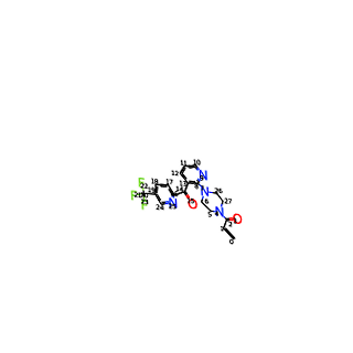 C=CC(=O)N1CCN(c2ncccc2C(=O)c2ccc(C(F)(F)F)cn2)CC1